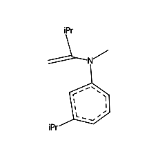 C=C(C(C)C)N(C)c1cccc(C(C)C)c1